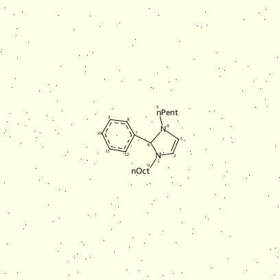 CCCCCCCCN1C=CN(CCCCC)C1c1ccccc1